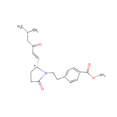 COC(=O)c1ccc(CCN2C(=O)CC[C@@H]2C=CC(=O)CC(C)C)cc1